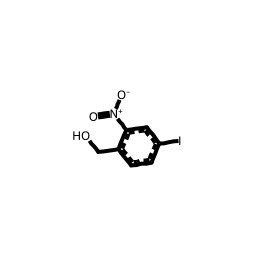 O=[N+]([O-])c1cc(I)ccc1CO